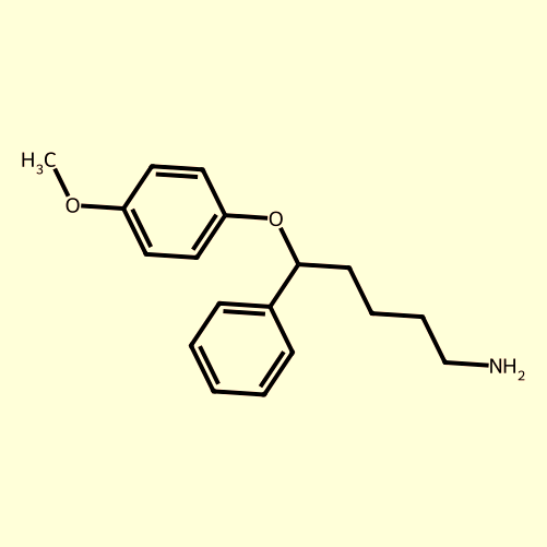 COc1ccc(OC(CCCCN)c2ccccc2)cc1